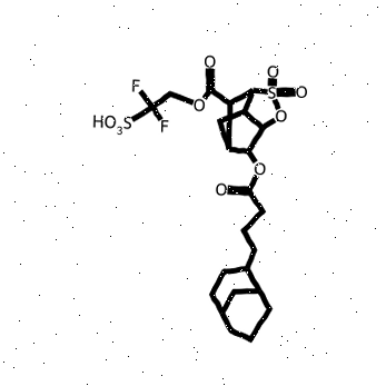 O=C(CCCC1CCC2CCCC1C2)OC1C2CC3C1OS(=O)(=O)C3C2C(=O)OCC(F)(F)S(=O)(=O)O